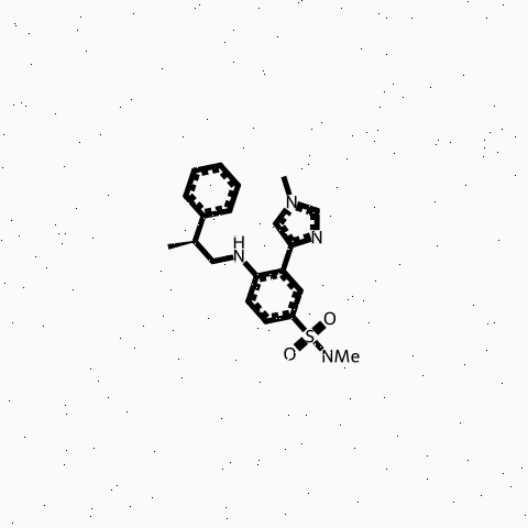 CNS(=O)(=O)c1ccc(NC[C@@H](C)c2ccccc2)c(-c2cn(C)cn2)c1